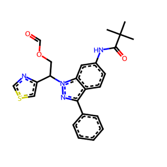 CC(C)(C)C(=O)Nc1ccc2c(-c3ccccc3)nn(C(COC=O)c3cscn3)c2c1